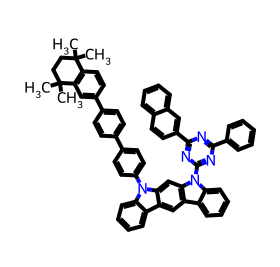 CC1(C)CCC(C)(C)c2cc(-c3ccc(-c4ccc(-n5c6ccccc6c6cc7c8ccccc8n(-c8nc(-c9ccccc9)nc(-c9ccc%10ccccc%10c9)n8)c7cc65)cc4)cc3)ccc21